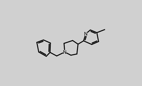 Cc1ccc(C2CCN(Cc3ccccc3)CC2)nc1